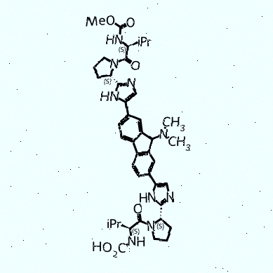 COC(=O)N[C@H](C(=O)N1CCC[C@H]1c1ncc(-c2ccc3c(c2)C(N(C)C)c2cc(-c4cnc([C@@H]5CCCN5C(=O)[C@@H](NC(=O)O)C(C)C)[nH]4)ccc2-3)[nH]1)C(C)C